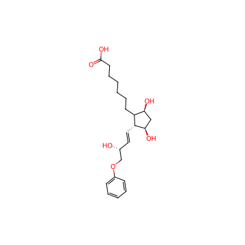 O=C(O)CCCCCCC1[C@@H](/C=C/[C@@H](O)COc2ccccc2)[C@H](O)C[C@@H]1O